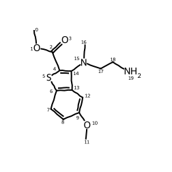 COC(=O)c1sc2ccc(OC)cc2c1N(C)CCN